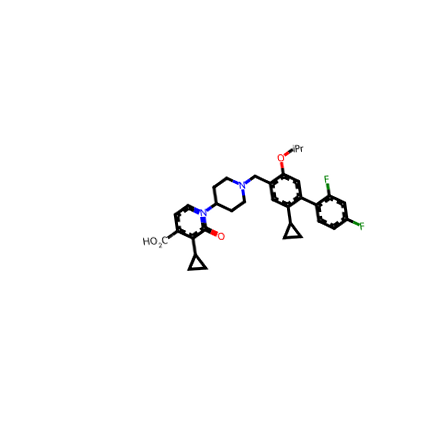 CC(C)Oc1cc(-c2ccc(F)cc2F)c(C2CC2)cc1CN1CCC(n2ccc(C(=O)O)c(C3CC3)c2=O)CC1